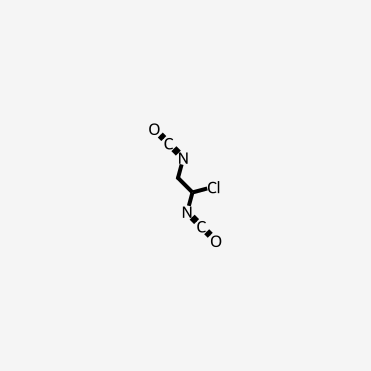 O=C=NCC(Cl)N=C=O